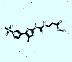 Cc1nc(NC(=O)NCCC(=O)OC(C)(C)C)sc1-c1cnn(S(C)(=O)=O)c1